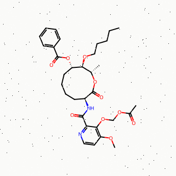 CCCCCO[C@H]1[C@H](C)OC(=O)[C@@H](NC(=O)c2nccc(OC)c2OCOC(C)=O)CCCC[C@@H]1OC(=O)c1ccccc1